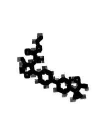 C=C(O)C1(c2ccc(-c3ccc(-c4onc(C)c4NC(=O)OCC)cc3)cc2)CC1